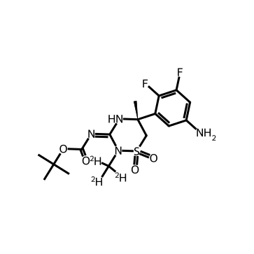 [2H]C([2H])([2H])N1/C(=N\C(=O)OC(C)(C)C)N[C@](C)(c2cc(N)cc(F)c2F)CS1(=O)=O